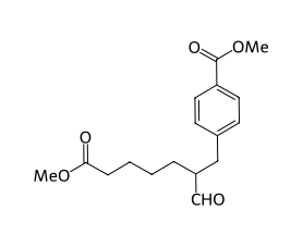 COC(=O)CCCCC(C=O)Cc1ccc(C(=O)OC)cc1